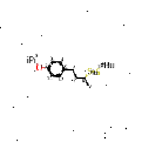 CC(C)Oc1ccc(CCC(C)SSC(C)(C)C)cc1